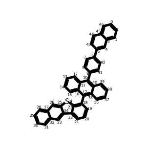 c1ccc2cc(-c3ccc(-c4c5ccccc5c(-c5cccc6c5sc5cc7ccccc7cc56)c5ccccc45)cc3)ccc2c1